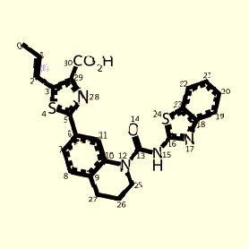 C/C=C/c1sc(-c2ccc3c(c2)N(C(=O)Nc2nc4ccccc4s2)CCC3)nc1C(=O)O